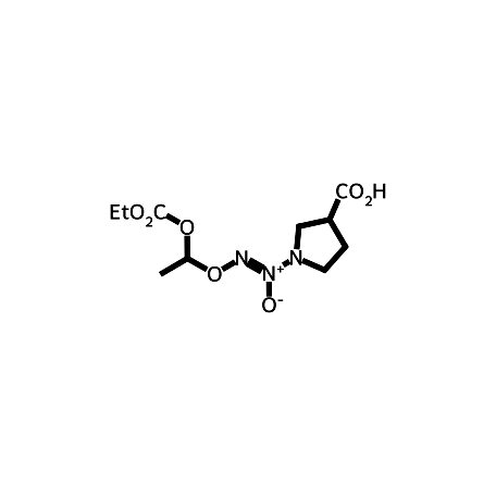 CCOC(=O)OC(C)ON=[N+]([O-])N1CCC(C(=O)O)C1